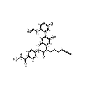 [N-]=[N+]=NCCCC(C(=O)Nc1ccc(C(=O)NN)nc1)n1cc(O)c(-c2cc(Cl)ccc2NC=N)cc1=O